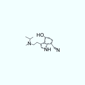 CC(C)N(C)CCc1c[nH]c2c(C#N)ccc(O)c12